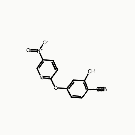 N#Cc1ccc(Oc2ccc([N+](=O)[O-])cn2)cc1O